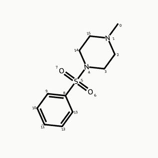 CN1CCN(S(=O)(=O)c2cc[c]cc2)CC1